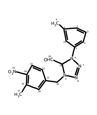 Cc1cccc(N2N=NN(Cc3ccc([N+](=O)[O-])c(C)c3)C2C=O)c1